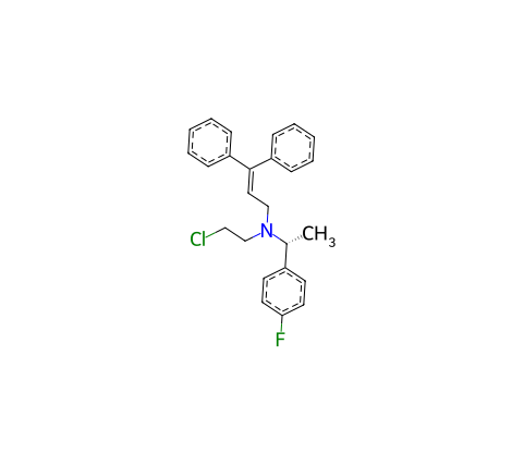 C[C@H](c1ccc(F)cc1)N(CC=C(c1ccccc1)c1ccccc1)CCCl